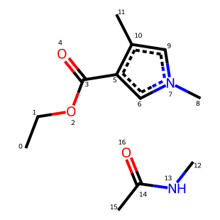 CCOC(=O)c1cn(C)cc1C.CNC(C)=O